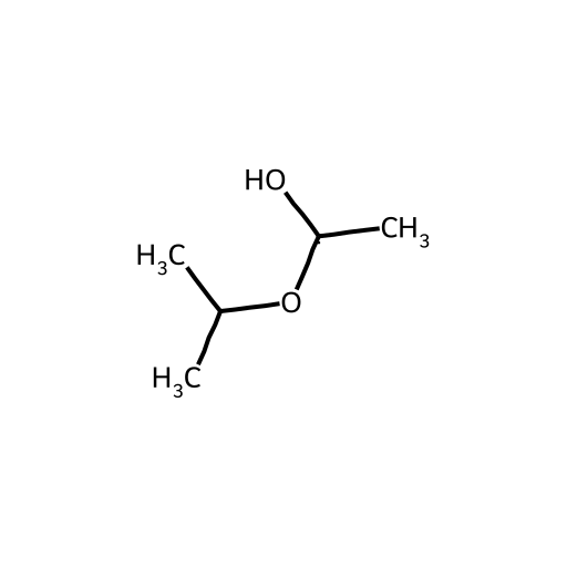 C[C](O)OC(C)C